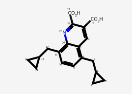 O=C(O)c1cc2c(CC3CC3)ccc(CC3CC3)c2nc1C(=O)O